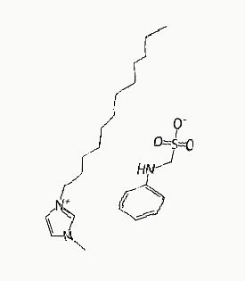 CCCCCCCCCCCC[n+]1ccn(C)c1.O=S(=O)([O-])CNc1ccccc1